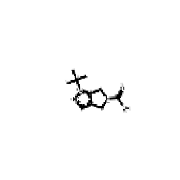 CC(C)(C)n1ncc2c1CN(C(=O)O)C2